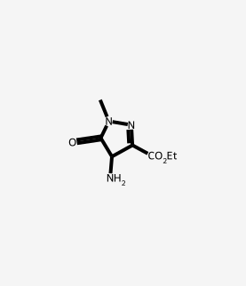 CCOC(=O)C1=NN(C)C(=O)C1N